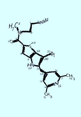 CNCCN(C)C(=O)c1cc2[nH]c(-c3cc(C)nc(C)c3)c(C(C)C)c2s1